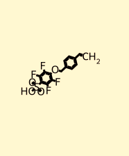 C=Cc1ccc(COc2c(F)c(F)c(S(=O)(=O)O)c(F)c2F)cc1